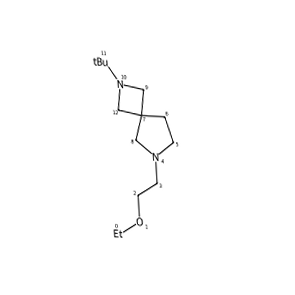 CCOCCN1CCC2(C1)CN(C(C)(C)C)C2